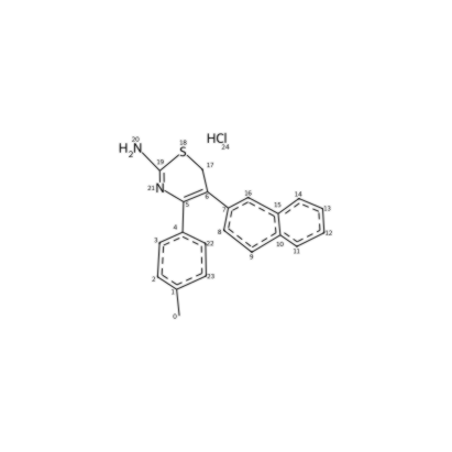 Cc1ccc(C2=C(c3ccc4ccccc4c3)CSC(N)=N2)cc1.Cl